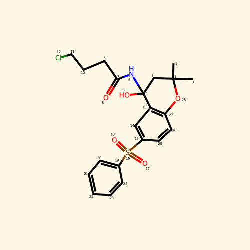 CC1(C)CC(O)(NC(=O)CCCCl)c2cc(S(=O)(=O)c3ccccc3)ccc2O1